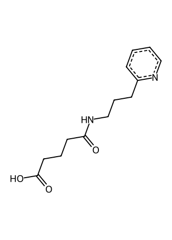 O=C(O)CCCC(=O)NCCCc1ccccn1